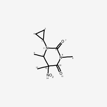 CC1N(C2CC2)C(=O)N(C)C(=O)C1(C)[N+](=O)[O-]